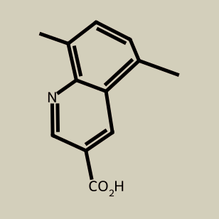 Cc1ccc(C)c2ncc(C(=O)O)cc12